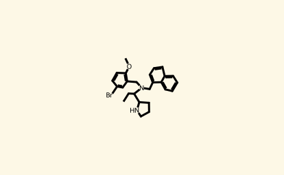 CCC(C1CCCN1)N(Cc1cc(Br)ccc1OC)Cc1cccc2ccccc12